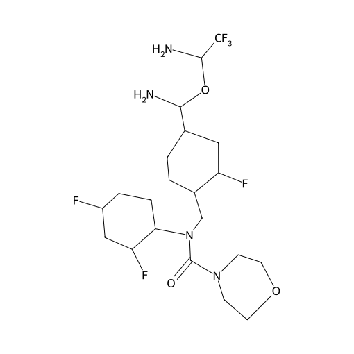 NC(OC(N)C(F)(F)F)C1CCC(CN(C(=O)N2CCOCC2)C2CCC(F)CC2F)C(F)C1